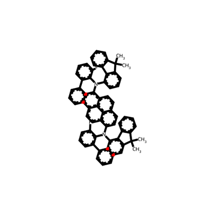 CC1(C)c2ccccc2-c2c(N(c3c(F)cccc3-c3ccccc3)c3ccc4ccc5c(N(c6cccc7c6-c6ccccc6C7(C)C)c6c(F)cccc6-c6ccccc6)ccc6ccc3c4c65)cccc21